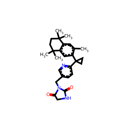 Cc1cc2c(cc1C1(c3ccc(CN4C(=O)CNC4=O)cn3)CC1)C(C)(C)CCC2(C)C